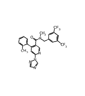 Cc1ccccc1-c1cc(-n2cncn2)ncc1C(=O)N(C)Cc1cc(C(F)(F)F)cc(C(F)(F)F)c1